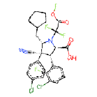 N#C[C@]1(c2ccc(Cl)cc2)[C@H](CC2CCCC2)N(C(F)(F)C(=O)OF)[C@@H](C(=O)O)[C@@H]1c1cccc(Cl)c1F